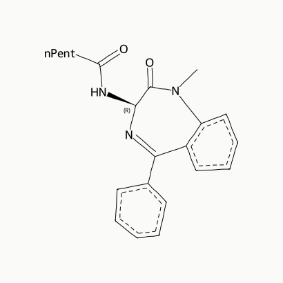 CCCCCC(=O)N[C@@H]1N=C(c2ccccc2)c2ccccc2N(C)C1=O